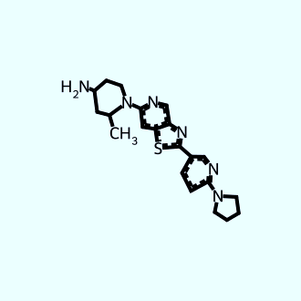 CC1CC(N)CCN1c1cc2sc(-c3ccc(N4CCCC4)nc3)nc2cn1